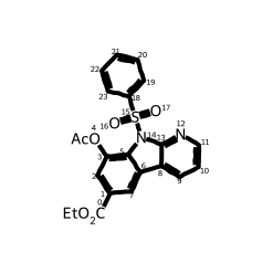 CCOC(=O)c1cc(OC(C)=O)c2c(c1)c1cccnc1n2S(=O)(=O)c1ccccc1